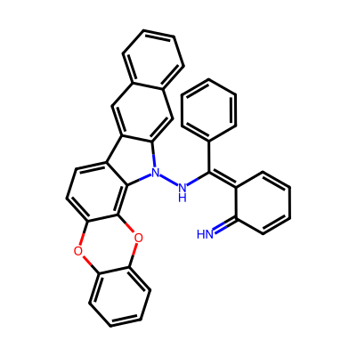 N=C1C=CC=C/C1=C(/Nn1c2cc3ccccc3cc2c2ccc3c(c21)Oc1ccccc1O3)c1ccccc1